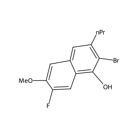 CCCc1cc2cc(OC)c(F)cc2c(O)c1Br